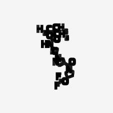 CC(C)(C)OC(=O)NC12CC(n3cc(C(=O)N4CC[C@@H](OC(F)F)C4)cn3)(C1)C2